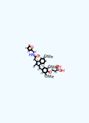 COc1ccc2c(c1)C(CC(=O)NCc1ccco1)=C(C)/C2=C/c1cc(OC)c(OCCB(O)O)c(OC)c1